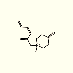 C=C/C=C\C(=C)C[N+]1(C)CCC(=O)CC1